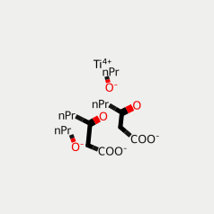 CCCC(=O)CC(=O)[O-].CCCC(=O)CC(=O)[O-].CCC[O-].CCC[O-].[Ti+4]